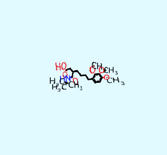 COc1ccc(CCCCC(CC(=O)O)C(=O)NC(C)(C)C)c(OC)c1OC